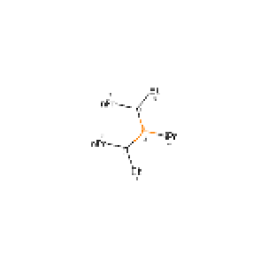 CCCC(CC)P(C(C)C)C(CC)CCC